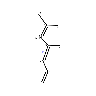 C=C/C=C(\C)N=C(C)C